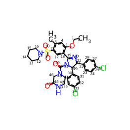 CCOc1cc(C)c(S(=O)(=O)N2CCCCC2)cc1C1=N[C@@H](c2ccc(Cl)cc2)[C@@H](c2ccc(Cl)cc2)N1C(=O)N1CCNC(=O)C1